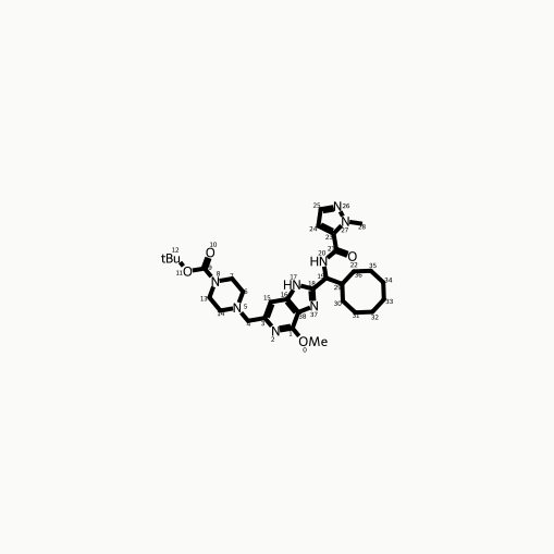 COc1nc(CN2CCN(C(=O)OC(C)(C)C)CC2)cc2[nH]c(C(NC(=O)c3ccnn3C)C3CCCCCCC3)nc12